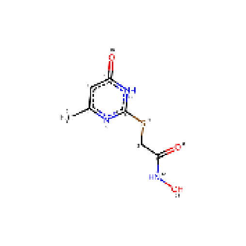 O=C(CSc1nc(C(F)(F)F)cc(=O)[nH]1)NO